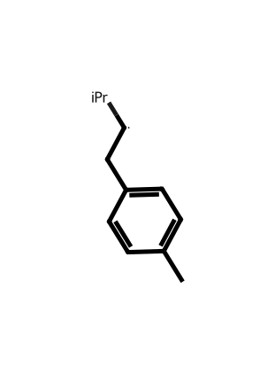 Cc1ccc(C[CH]C(C)C)cc1